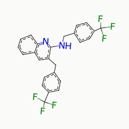 FC(F)(F)c1ccc(CNc2nc3ccccc3cc2Cc2ccc(C(F)(F)F)cc2)cc1